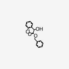 O=C(OCc1ccccc1)C(O)c1ccccc1Cl